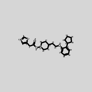 O=C(Cc1cncs1)ON1CCC(CCOc2ccccc2C2CCCC2)CC1